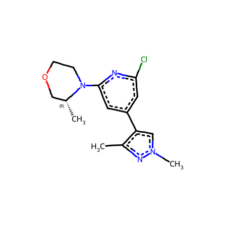 Cc1nn(C)cc1-c1cc(Cl)nc(N2CCOC[C@H]2C)c1